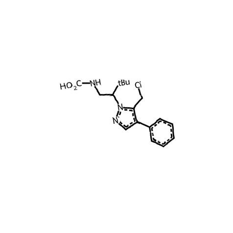 CC(C)(C)C(CNC(=O)O)n1ncc(-c2ccccc2)c1CCl